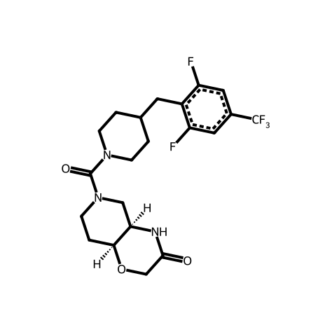 O=C1CO[C@H]2CCN(C(=O)N3CCC(Cc4c(F)cc(C(F)(F)F)cc4F)CC3)C[C@H]2N1